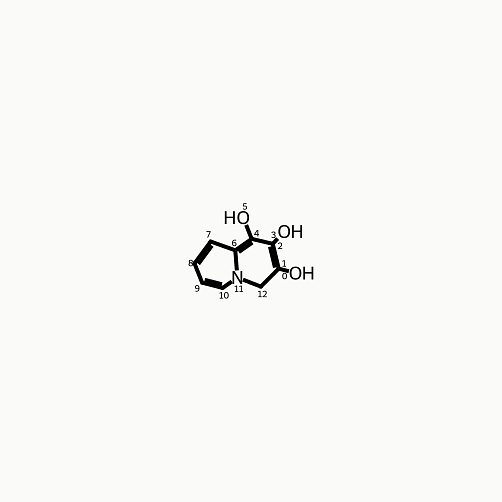 OC1=C(O)C(O)=C2C=CC=CN2C1